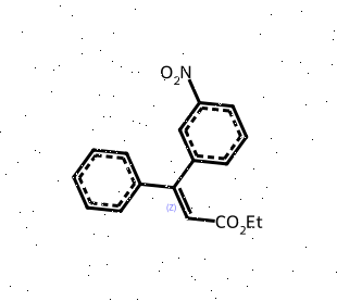 CCOC(=O)/C=C(/c1ccccc1)c1cccc([N+](=O)[O-])c1